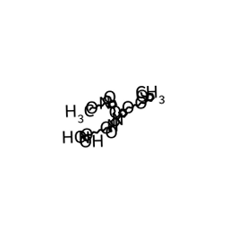 COCCCN1CCOc2ccc(OC[C@H]3CN(C(=O)OCCCCCON(O)O)CCN3c3ccc(OCCCOCc4ccccc4OC)cc3)cc21